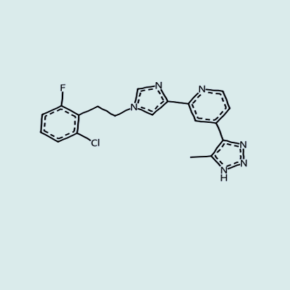 Cc1[nH]nnc1-c1ccnc(-c2cn(CCc3c(F)cccc3Cl)cn2)c1